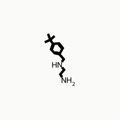 CC(C)(C)c1ccc(CNCCN)cc1